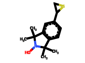 CC1(C)c2ccc(C3CS3)cc2C(C)(C)N1O